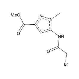 COC(=O)c1cc(NC(=O)CBr)n(C)n1